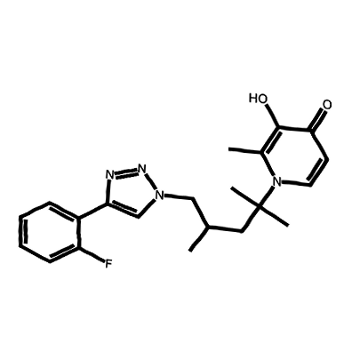 Cc1c(O)c(=O)ccn1C(C)(C)CC(C)Cn1cc(-c2ccccc2F)nn1